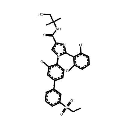 CCS(=O)(=O)c1cccc(-c2ccc(-n3cc(C(=O)NC(C)(C)CO)nc3-c3c(Cl)cccc3Cl)c(Cl)c2)c1